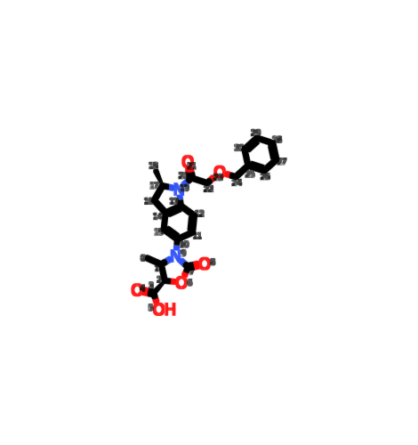 CC1[C@H](C(=O)O)OC(=O)N1c1ccc2c(c1)C[C@@H](C)N2C(=O)COCc1ccccc1